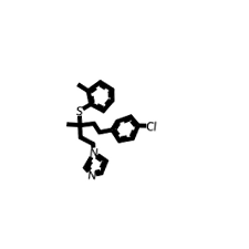 Cc1ccccc1SC(C)(CCc1ccc(Cl)cc1)CCn1ccnc1